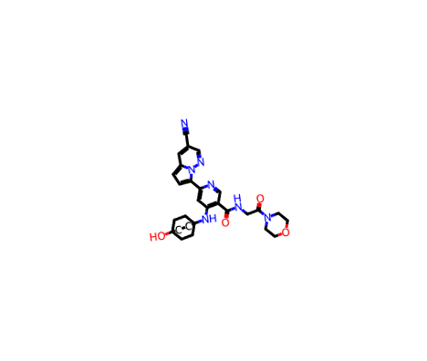 N#Cc1cnn2c(-c3cc(NC45CCC(O)(CC4)CC5)c(C(=O)NCC(=O)N4CCOCC4)cn3)ccc2c1